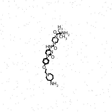 CC(C)(N)C(=O)N1CCN(C(=O)Nc2ccn(-c3ccc(OCCN4CCCC(N)CC4)cc3)c(=O)n2)CC1